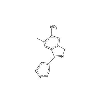 Cc1cc2c(cc1[N+](=O)[O-])CN=C2c1ccncc1